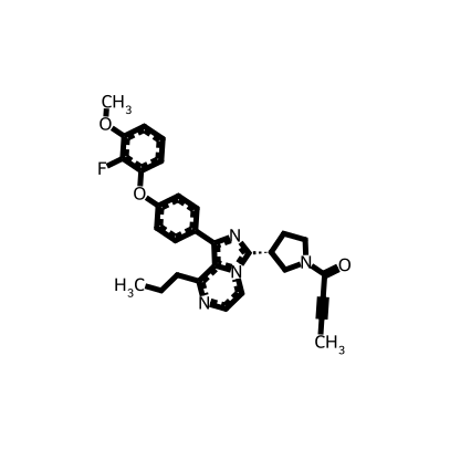 CC#CC(=O)N1CC[C@@H](c2nc(-c3ccc(Oc4cccc(OC)c4F)cc3)c3c(CCC)nccn23)C1